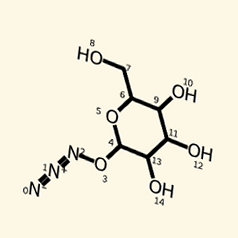 [N-]=[N+]=NOC1OC(CO)C(O)C(O)C1O